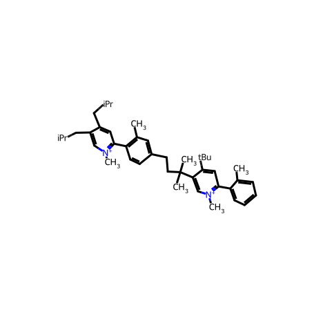 Cc1cc(CCC(C)(C)c2c[n+](C)c(-c3ccccc3C)cc2C(C)(C)C)ccc1-c1cc(CC(C)C)c(CC(C)C)c[n+]1C